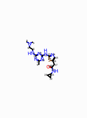 Cc1nc(NCCN(C)C)nc(Nc2ncc(CC(=O)NC3CC3)s2)n1